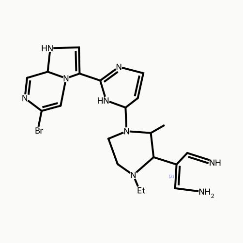 CCN1CCN(C2C=CN=C(C3=CNC4C=NC(Br)=CN34)N2)C(C)C1/C(C=N)=C/N